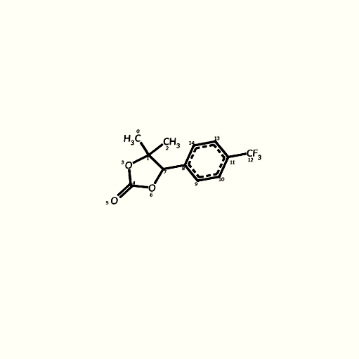 CC1(C)OC(=O)OC1c1ccc(C(F)(F)F)cc1